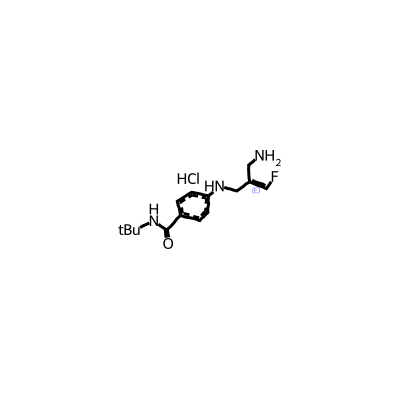 CC(C)(C)NC(=O)c1ccc(NC/C(=C/F)CN)cc1.Cl